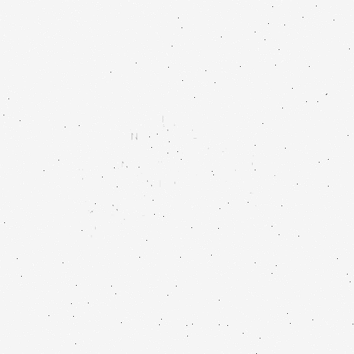 O=C(c1ccc(Oc2ccccc2)cc1F)c1c[nH]c2ncnc(NC3CCN(C(=O)C4CO4)C3)c12